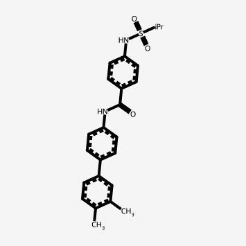 Cc1ccc(-c2ccc(NC(=O)c3ccc(NS(=O)(=O)C(C)C)cc3)cc2)cc1C